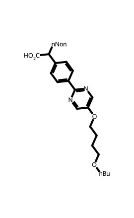 CCCCCCCCCC(C(=O)O)c1ccc(-c2ncc(OCCCCOCCCC)cn2)cc1